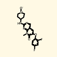 Cn1c(=O)c(Oc2ccc(F)cc2F)cc2cnc(NC3CC[S+]([O-])CC3)nc21